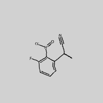 CC(C#N)c1cccc(F)c1[N+](=O)[O-]